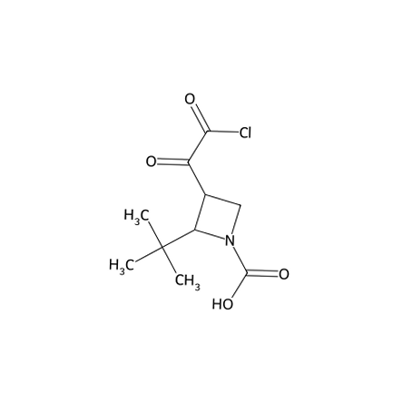 CC(C)(C)C1C(C(=O)C(=O)Cl)CN1C(=O)O